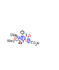 CSCCC(NC(=O)OCC(C)C)C(=O)NC(CC(C)C)C(=O)NC(Cc1ccccc1)C(=O)NCCC(=O)O